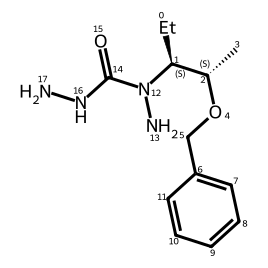 CC[C@@H]([C@H](C)OCc1ccccc1)N(N)C(=O)NN